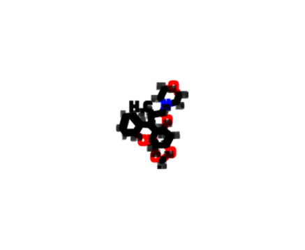 CC1C(c2ccccc2O)c2cc3c(cc2OC1N1CCOCC1)OCO3